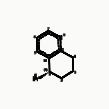 CC(C)[C@H]1CCCc2ncccc21